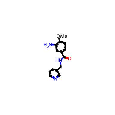 COc1ccc(C(=O)NCc2cccnc2)cc1N